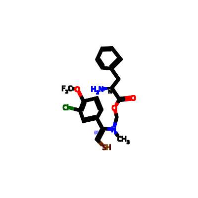 CN(COC(=O)[C@@H](N)Cc1ccccc1)/C(=C\S)c1ccc(OC(F)(F)F)c(Cl)c1